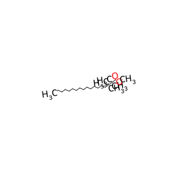 CCCCCCCCCCCCCCCC(C)(C)C(C)(C)C(=O)OC